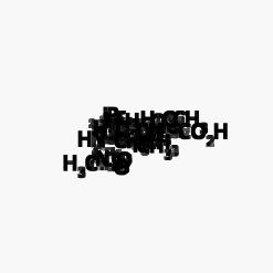 CC(C)[C@@H]1CC[C@]2(NCCC(C)N3CCS(=O)(=O)CC3)CC[C@]3(C)[C@H](CC[C@@H]4[C@@]5(C)CC[C@H](OC(=O)[C@H]6C[C@@H](C(=O)O)C6(C)C)C(C)(C)[C@@H]5CC[C@]43C)[C@@H]12